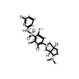 CN(C)[C@H]1CC[C@H]2CN(c3cc(F)c(S(=O)(=O)Nc4cccc(F)n4)c(F)c3Cl)C[C@H]21